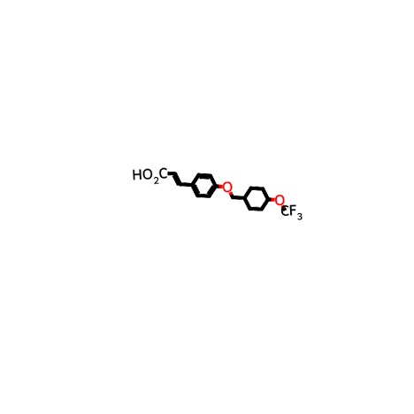 O=C(O)C=Cc1ccc(OCC2CCC(OC(F)(F)F)CC2)cc1